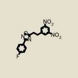 O=[N+]([O-])c1cc(CCc2nc(-c3ccc(F)cc3)no2)cc([N+](=O)[O-])c1